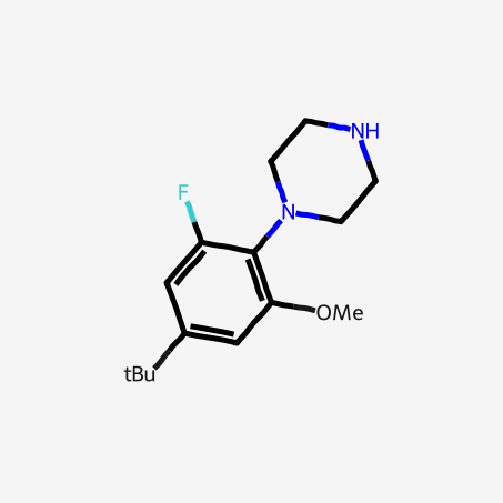 COc1cc(C(C)(C)C)cc(F)c1N1CCNCC1